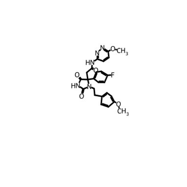 COc1ccc(CCN2C(=O)NC(=O)C2(CC(=O)Nc2ccc(OC)nn2)c2ccc(F)cc2)cc1